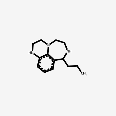 CCCC1NCCN2CCNc3cccc1c32